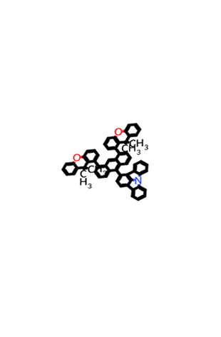 CC1(C)c2ccccc2Oc2cccc(-c3cccc4c(-c5ccc6c7ccccc7n7c8ccccc8c5c67)c5cccc(-c6cccc7c6C(C)(C)c6ccccc6O7)c5cc34)c21